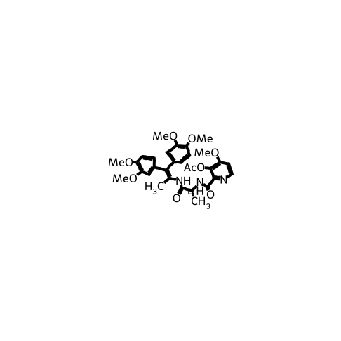 COc1ccc(C(=C(C)NC(=O)[C@H](C)NC(=O)c2nccc(OC)c2OC(C)=O)c2ccc(OC)c(OC)c2)cc1OC